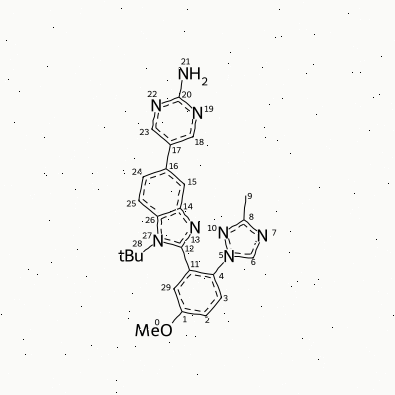 COc1ccc(-n2cnc(C)n2)c(-c2nc3cc(-c4cnc(N)nc4)ccc3n2C(C)(C)C)c1